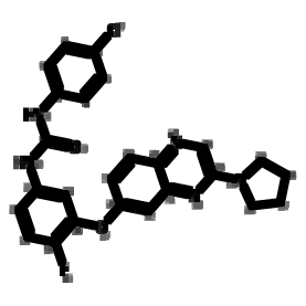 O=C(Nc1ccc(Cl)cc1)Nc1ccc(F)c(Oc2ccc3ncc(N4CCCC4)nc3c2)c1